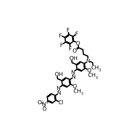 CCN(CCCC(=O)Oc1c(F)c(F)c(F)c(F)c1F)c1cc(CO)c(N=Nc2cc(CO)c(N=Nc3ccc([N+](=O)[O-])cc3Cl)cc2OC)cc1OC